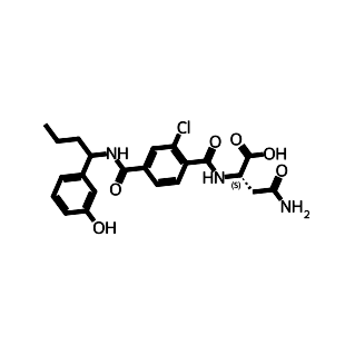 CCCC(NC(=O)c1ccc(C(=O)N[C@@H](CC(N)=O)C(=O)O)c(Cl)c1)c1cccc(O)c1